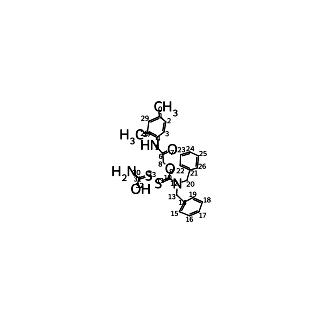 Cc1ccc(NC(=O)COC(=S)N(Cc2ccccc2)Cc2ccccc2)c(C)c1.NC(O)=S